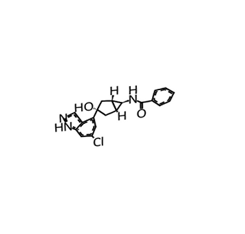 O=C(N[C@H]1[C@@H]2C[C@@](O)(c3cc(Cl)cc4[nH]ncc34)C[C@@H]21)c1ccccc1